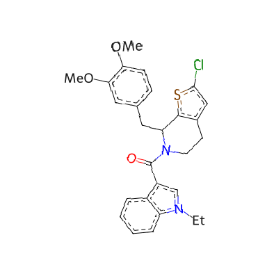 CCn1cc(C(=O)N2CCc3cc(Cl)sc3C2Cc2ccc(OC)c(OC)c2)c2ccccc21